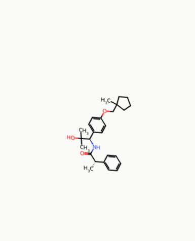 C[C@H](C(=O)N[C@H](c1ccc(OCC2(C)CCCC2)cc1)C(C)(C)O)c1ccccc1